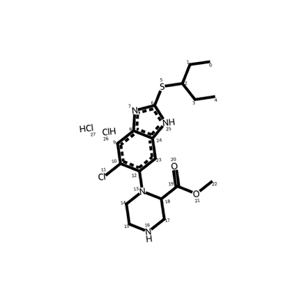 CCC(CC)Sc1nc2cc(Cl)c(N3CCNCC3C(=O)OC)cc2[nH]1.Cl.Cl